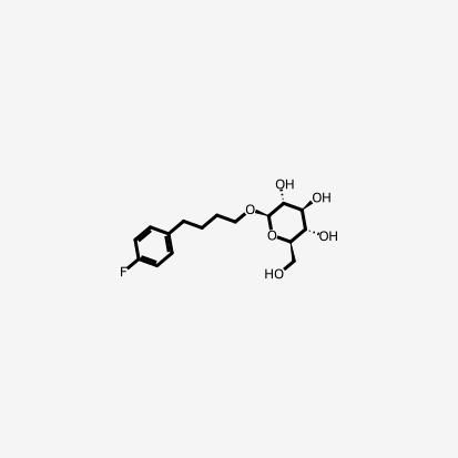 OC[C@H]1O[C@@H](OCCCCc2ccc(F)cc2)[C@H](O)[C@@H](O)[C@@H]1O